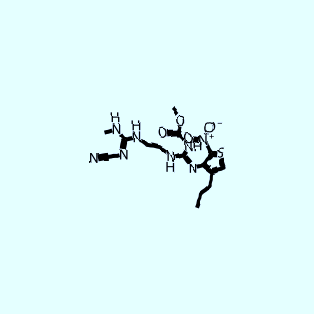 CCCc1csc([N+](=O)[O-])c1N=C(NCCNC(=NC#N)NC)NC(=O)OC